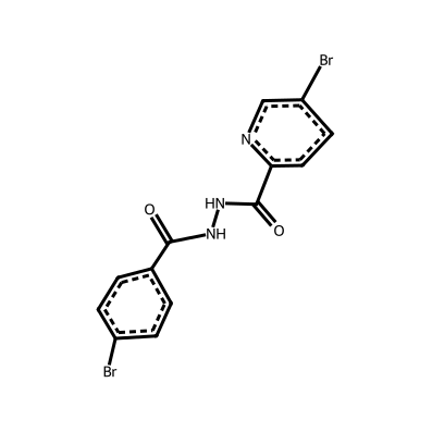 O=C(NNC(=O)c1ccc(Br)cn1)c1ccc(Br)cc1